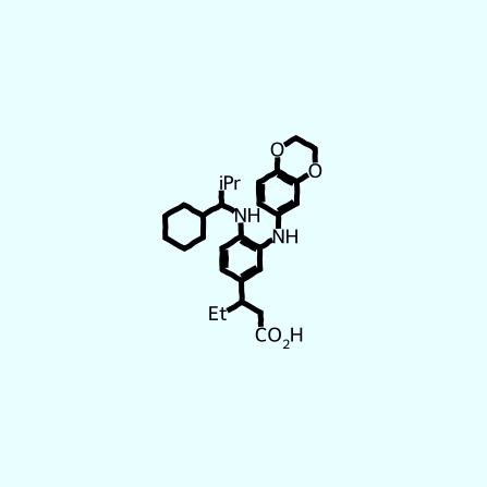 CCC(CC(=O)O)c1ccc(NC(C(C)C)C2CCCCC2)c(Nc2ccc3c(c2)OCCO3)c1